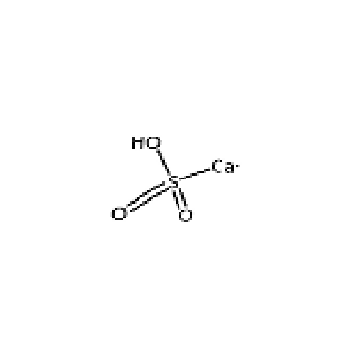 O=[S](=O)(O)[Ca]